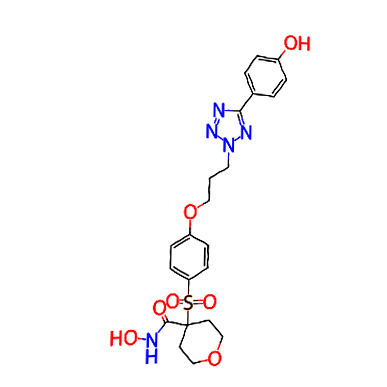 O=C(NO)C1(S(=O)(=O)c2ccc(OCCCn3nnc(-c4ccc(O)cc4)n3)cc2)CCOCC1